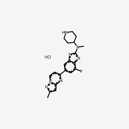 Cc1cc2nc(-c3cc(F)c4nc(N(C)C5CCNCC5)sc4c3)ccn2n1.Cl